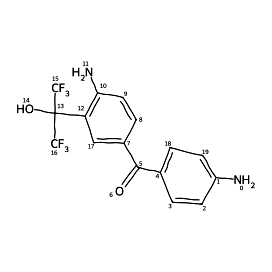 Nc1ccc(C(=O)c2ccc(N)c(C(O)(C(F)(F)F)C(F)(F)F)c2)cc1